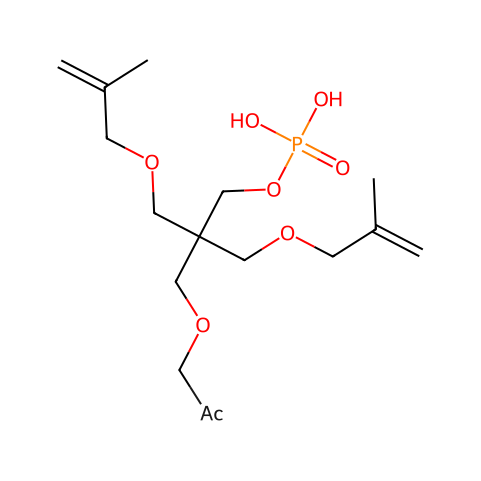 C=C(C)COCC(COCC(=C)C)(COCC(C)=O)COP(=O)(O)O